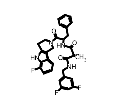 CC(C(=O)NCc1cc(F)cc(F)c1)C(=O)NC(Cc1ccccc1)C(=O)N1CCc2[nH]c3c(F)cccc3c2C1